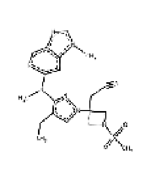 CCc1cn(C2(CC#N)CN(S(C)(=O)=O)C2)nc1N(C)c1cc2c(cn1)ncn2C